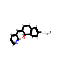 CCOC(=O)c1ccc2c(c1)CC/C(=C/c1cccnc1)C2=O